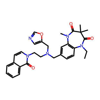 CCN1C(=O)C(C)(C)C(=O)N(C)c2cc(CN(CCn3ccc4ccccc4c3=O)Cc3cnco3)ccc21